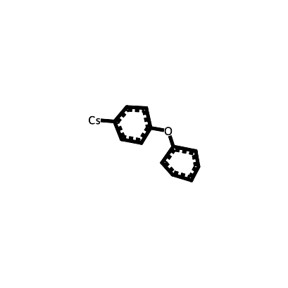 [Cs][c]1ccc(Oc2ccccc2)cc1